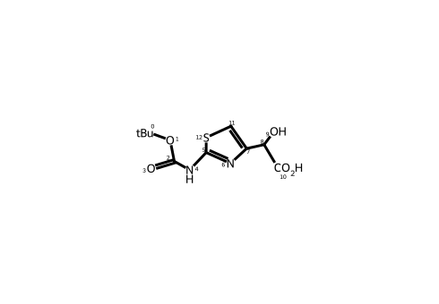 CC(C)(C)OC(=O)Nc1nc(C(O)C(=O)O)cs1